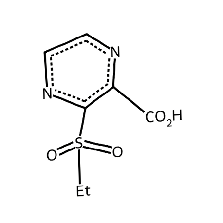 CCS(=O)(=O)c1nccnc1C(=O)O